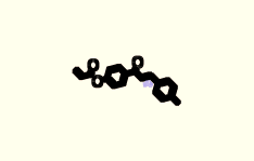 C=CC(=O)Oc1ccc(C(=O)/C=C/c2ccc(C)cc2)cc1